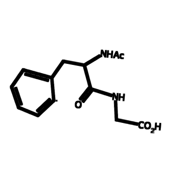 CC(=O)NC(Cc1[c]cccc1)C(=O)NCC(=O)O